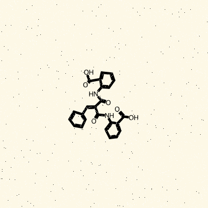 O=C(Nc1ccccc1C(=O)O)C(=Cc1ccccc1)C(=O)Nc1ccccc1C(=O)O